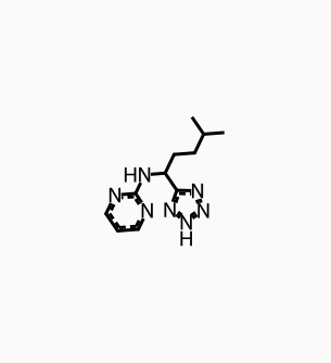 CC(C)CCC(Nc1ncccn1)c1nn[nH]n1